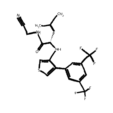 CC(C)C[C@H](Nc1cscc1-c1cc(C(F)(F)F)cc(C(F)(F)F)c1)C(=O)NCC#N